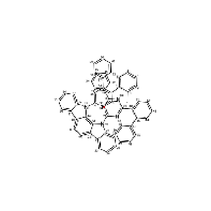 Cc1ccccc1-c1ccc(-n2c3ccccc3c3ccc4c5ccccc5n(-c5nc(-c6ccccc6)nc(-c6ccccc6-c6ccccc6)n5)c4c32)cc1-c1ccccc1